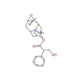 CCCC[N@@+]1(C)C2CC3O[C@@H]3C1C[C@@H](OC(=O)C(CO)c1ccccc1)C2